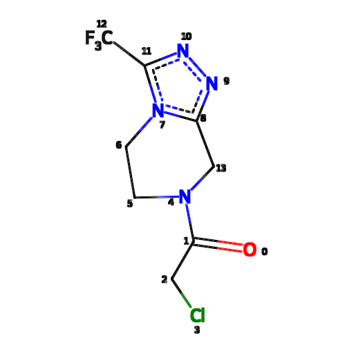 O=C(CCl)N1CCn2c(nnc2C(F)(F)F)C1